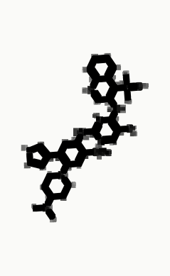 COc1cc(N2CCC(N(C)C)CC2)c(-c2ccsc2)cc1Nc1ncc(Br)c(Nc2cnc3ccccc3c2P(C)(C)=O)n1